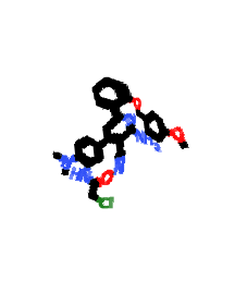 COc1ccc(COc2ccccc2-c2cc(-c3ccc(N(C)C)c(NC(=O)CCl)c3)c(C#N)c(N)n2)cc1